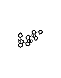 c1ccc(-c2cc(-c3cccc4oc5c(-n6c7ccccc7c7c(-c8ccccc8)cccc76)cccc5c34)c3ccccc3n2)cc1